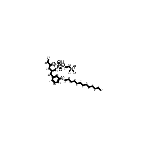 CCCCCCCCCCCCCOc1cccc(CC(COP(=O)(O)OCC[N+](C)(C)C)CC(=O)CC)c1